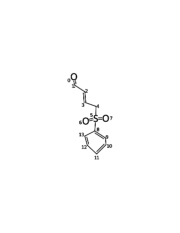 O=[C]C=CCS(=O)(=O)c1ccccc1